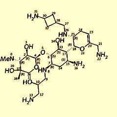 CN[C@@H]1[C@@H](O)[C@@H](O[C@H]2[C@H](NCC(O)CN)C[C@H](N)C([C@H]3OC(CN)=CC[C@H]3NCC3CC(N)C3)[C@@H]2O)OC[C@]1(C)O